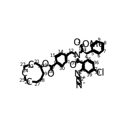 COC(=O)[C@@H](Cc1ccccc1)N(Cc1ccc(C(=O)OC2CCCCCCCCC2)cc1)C(=O)c1ccc(Cl)cc1N=[N+]=[N-]